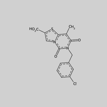 Cc1c(=O)n(Cc2cccc(Cl)c2)c(=O)n2cc(C(=O)O)sc12